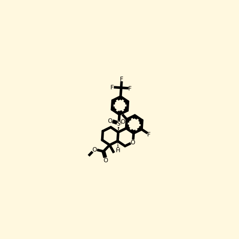 COC(=O)C1(C)CCC[C@@]2(S(=O)(=O)c3ccc(C(F)(F)F)cc3)c3c(F)ccc(F)c3OC[C@@H]12